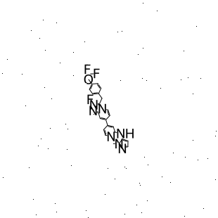 Cn1nccc1Nc1cc(-c2ccn3c(Cc4ccc(OC(F)F)cc4F)nnc3c2)ccn1